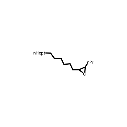 CCCCCCCCCCCCCC1OC1CCC